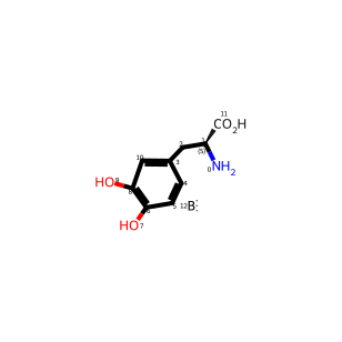 N[C@@H](Cc1ccc(O)c(O)c1)C(=O)O.[B]